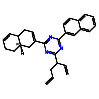 C=CCC(C=C)c1nc(C2=CCC3C=CCC[C@H]3C2)nc(-c2ccc3ccccc3c2)n1